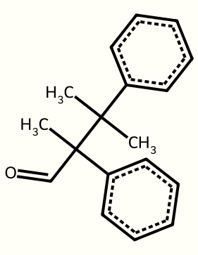 CC(C)(c1ccccc1)C(C)(C=O)c1ccccc1